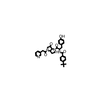 CC(C)(C)c1ccc(C(=O)NC(Cc2ccc(O)cc2)C(=O)N2CCC3C2C(=O)CN3C(=O)Cc2cccnc2)cc1